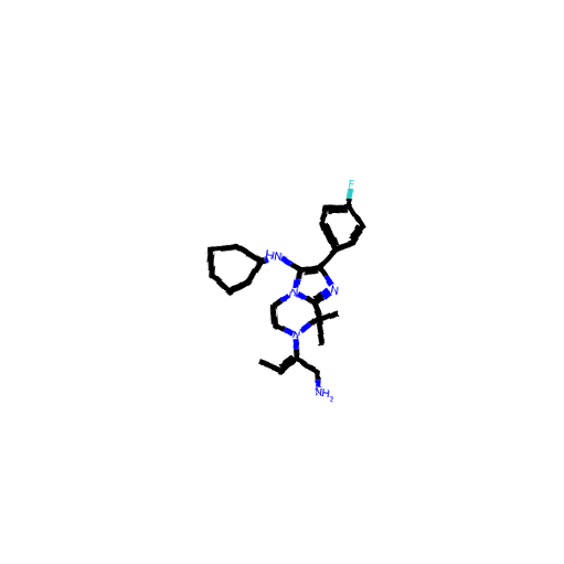 C/C=C(/CN)N1CCn2c(nc(-c3ccc(F)cc3)c2NC2CCCCC2)C1(C)C